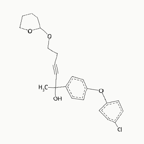 CC(O)(C#CCCOC1CCCCO1)c1ccc(Oc2ccc(Cl)cc2)cc1